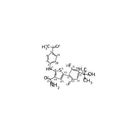 CC(=O)c1ccc(Nc2sc(-c3c(F)cc(C(C)(C)O)cc3F)cc2C(N)=O)cc1